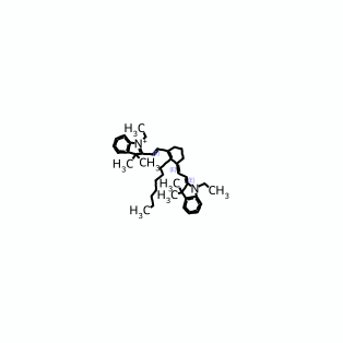 CCCCCCCC1=C(/C=C/C2=[N+](CC)c3ccccc3C2(C)C)CCC/C1=C\C=C1\N(CC)c2ccccc2C1(C)C